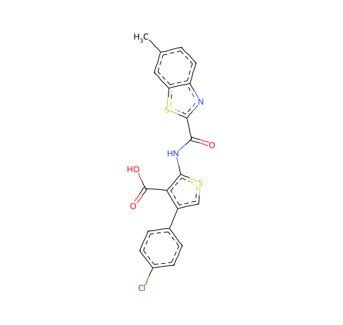 Cc1ccc2nc(C(=O)Nc3scc(-c4ccc(Cl)cc4)c3C(=O)O)sc2c1